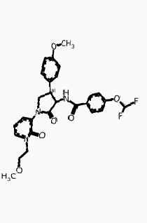 COCCn1cccc(N2C[C@@H](c3ccc(OC)cc3)C(NC(=O)c3ccc(OC(F)F)cc3)C2=O)c1=O